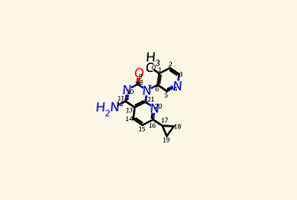 Cc1ccncc1-n1c(=O)nc(N)c2ccc(C3CC3)nc21